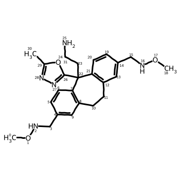 CONCc1ccc2c(c1)CCc1cc(CNOC)ccc1C2(CCN)c1nnc(C)o1